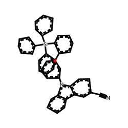 N#Cc1ccc2c(c1)c1ccccc1n2-c1cccc(-c2ccccc2[Si](c2ccccc2)(c2ccccc2)c2ccccc2)c1